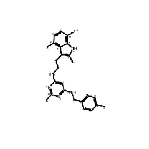 Cc1ccc(CNc2cc(NCCc3c(C)[nH]c4c(F)ccc(C)c34)nc(C)n2)cc1